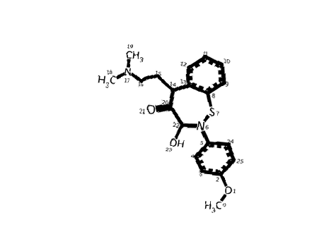 COc1ccc(N2Sc3ccccc3C(CCN(C)C)C(=O)C2O)cc1